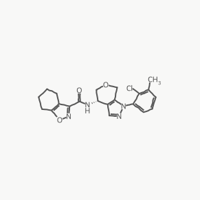 Cc1cccc(-n2ncc3c2COC[C@H]3NC(=O)c2noc3c2CCCC3)c1Cl